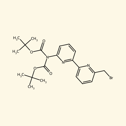 CC(C)(C)OC(=O)N(C(=O)OC(C)(C)C)c1cccc(-c2cccc(CBr)n2)n1